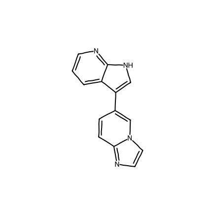 c1cnc2[nH]cc(-c3ccc4nccn4c3)c2c1